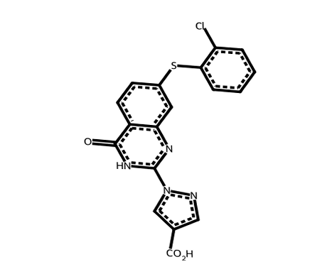 O=C(O)c1cnn(-c2nc3cc(Sc4ccccc4Cl)ccc3c(=O)[nH]2)c1